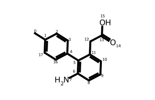 Cc1ccc(-c2c(N)cccc2CC(=O)O)cc1